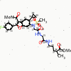 CNC(=O)c1c(-c2ccc(F)cc2)oc2cc(N(CC(=O)NCC(=O)NCCCC(C)C(=O)OC)S(C)(=O)=O)c(C3CC3)cc12